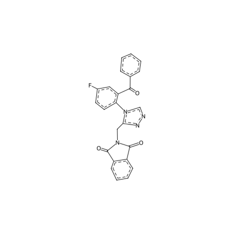 O=C(c1ccccc1)c1cc(F)ccc1-n1cnnc1CN1C(=O)c2ccccc2C1=O